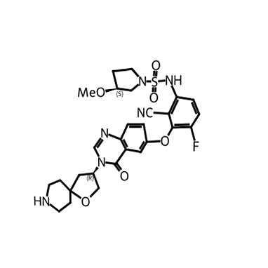 CO[C@H]1CCN(S(=O)(=O)Nc2ccc(F)c(Oc3ccc4ncn([C@H]5COC6(CCNCC6)C5)c(=O)c4c3)c2C#N)C1